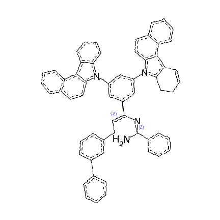 N/C(=N\C(=C/Cc1cccc(-c2ccccc2)c1)c1cc(-n2c3c(c4c5ccccc5ccc42)C=CCC3)cc(-n2c3ccccc3c3c4ccccc4ccc32)c1)c1ccccc1